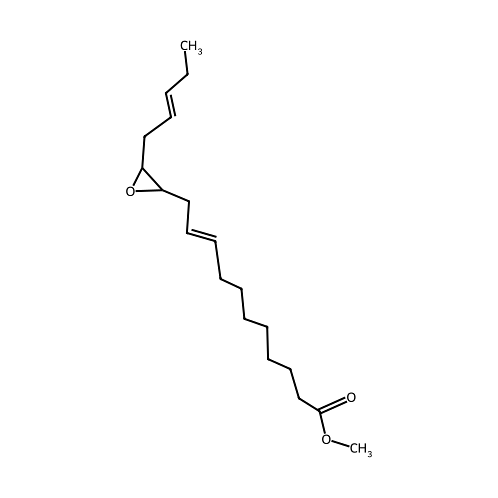 CCC=CCC1OC1CC=CCCCCCCCC(=O)OC